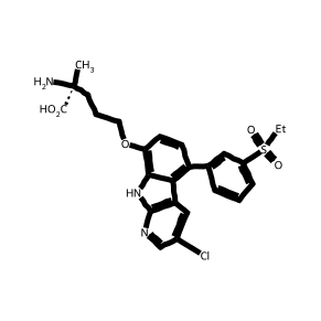 CCS(=O)(=O)c1cccc(-c2ccc(OCCC[C@](C)(N)C(=O)O)c3[nH]c4ncc(Cl)cc4c23)c1